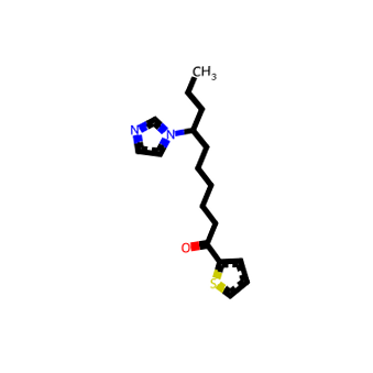 CCCC(CCCCCC(=O)c1cccs1)n1ccnc1